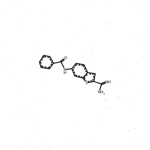 N=C(N)c1cc2ccc(NC(=O)c3ccccc3)cc2s1